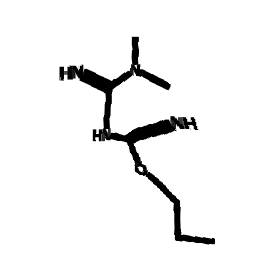 CCCOC(=N)NC(=N)N(C)C